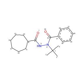 CC(C)(C)N(NC(=O)C1CCCCCC1)C(=O)c1ccccc1